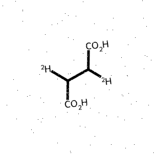 [2H]C(C(=O)O)C([2H])C(=O)O